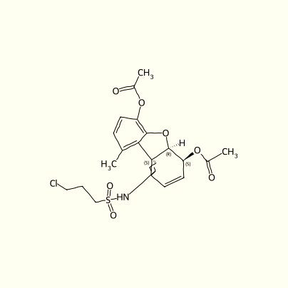 CC(=O)Oc1ccc(C)c2c1O[C@H]1[C@@H](OC(C)=O)C=CC3C(NS(=O)(=O)CCCCl)=CC[C@@]231